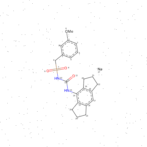 COc1cccc(CS(=O)(=O)NC(=O)Nc2c3c(cc4c2CCC4)CCC3)c1.[Na]